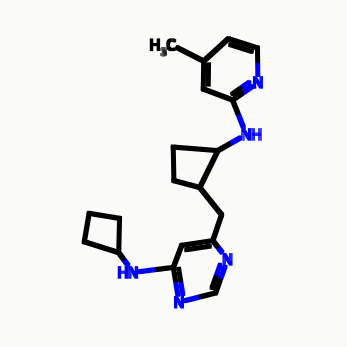 Cc1ccnc(NC2CCC2Cc2cc(NC3CCC3)ncn2)c1